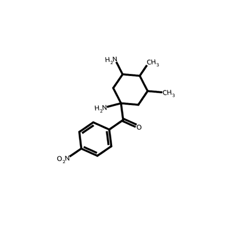 CC1CC(N)(C(=O)c2ccc([N+](=O)[O-])cc2)CC(N)C1C